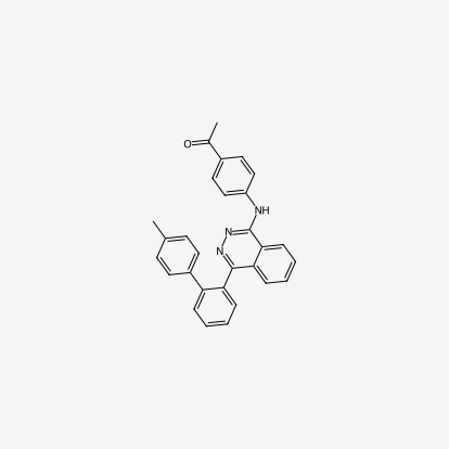 CC(=O)c1ccc(Nc2nnc(-c3ccccc3-c3ccc(C)cc3)c3ccccc23)cc1